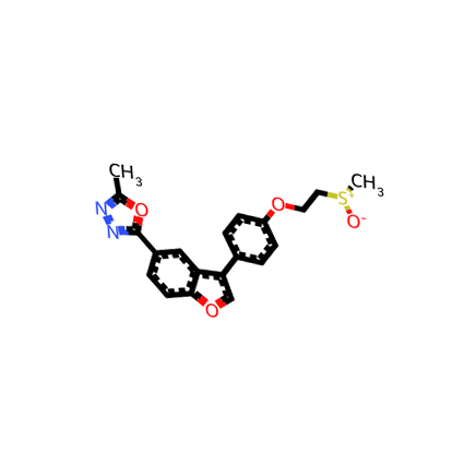 Cc1nnc(-c2ccc3occ(-c4ccc(OCC[S+](C)[O-])cc4)c3c2)o1